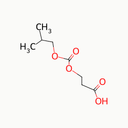 CC(C)COC(=O)OCCC(=O)O